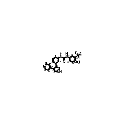 O=C(Nc1cccc(-c2n[nH]cc2-c2ccncc2)c1)Nc1ccc(Cl)c(C(F)(F)F)c1